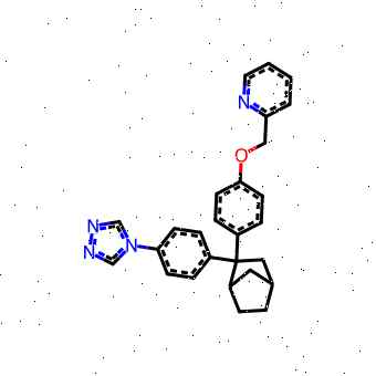 c1ccc(COc2ccc(C3(c4ccc(-n5cnnc5)cc4)CC4CCC3C4)cc2)nc1